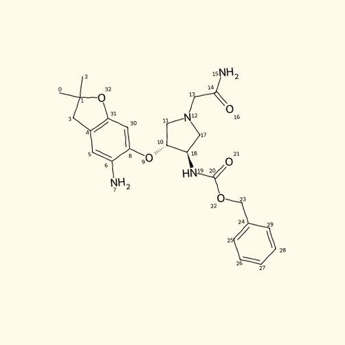 CC1(C)Cc2cc(N)c(O[C@@H]3CN(CC(N)=O)C[C@H]3NC(=O)OCc3ccccc3)cc2O1